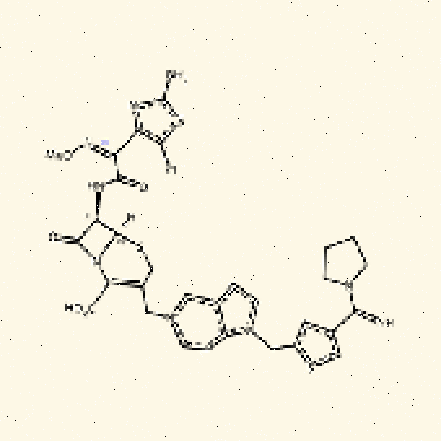 CO/N=C(\C(=O)N[C@@H]1C(=O)N2C(C(=O)O)=C(C[n+]3ccc4c(ccn4Cc4cc(C(=N)N5CCCC5)cs4)c3)CS[C@H]12)c1nc(N)sc1Cl